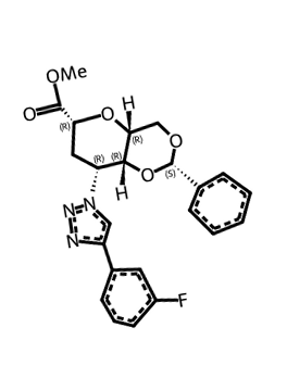 COC(=O)[C@H]1C[C@@H](n2cc(-c3cccc(F)c3)nn2)[C@H]2O[C@@H](c3ccccc3)OC[C@H]2O1